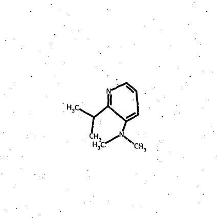 CC(C)c1ncccc1N(C)C